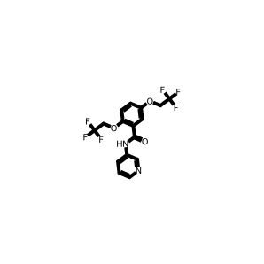 O=C(Nc1cccnc1)c1cc(OCC(F)(F)F)ccc1OCC(F)(F)F